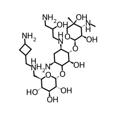 CN[C@@H]1[C@@H](O)[C@@H](O[C@H]2[C@H](NCC(O)CN)C[C@H](N)C(O[C@H]3O[C@H](CNCC4CC(N)C4)[C@@H](O)[C@H](O)[C@H]3O)[C@@H]2O)OC[C@]1(C)O